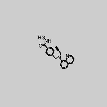 C#CCN(Cc1ccc(C(=O)NO)cc1)c1cccc2cccnc12